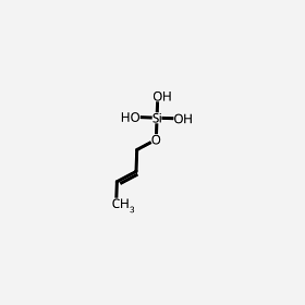 CC=CCO[Si](O)(O)O